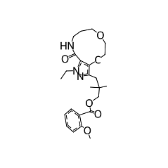 CCn1nc(CC(C)(C)COC(=O)c2ccccc2OC)c2c1C(=O)NCCCOCCC2